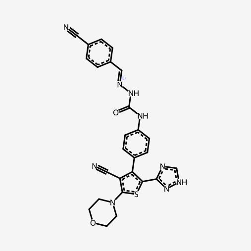 N#Cc1ccc(/C=N/NC(=O)Nc2ccc(-c3c(-c4nc[nH]n4)sc(N4CCOCC4)c3C#N)cc2)cc1